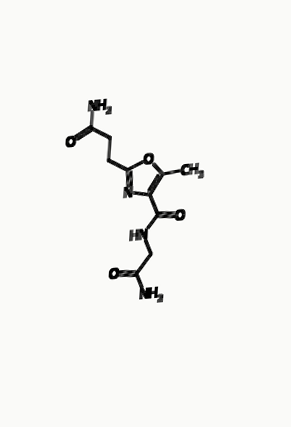 Cc1oc(CCC(N)=O)nc1C(=O)NCC(N)=O